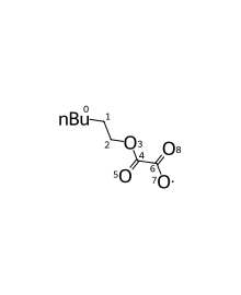 [CH2]CCCCCOC(=O)C([O])=O